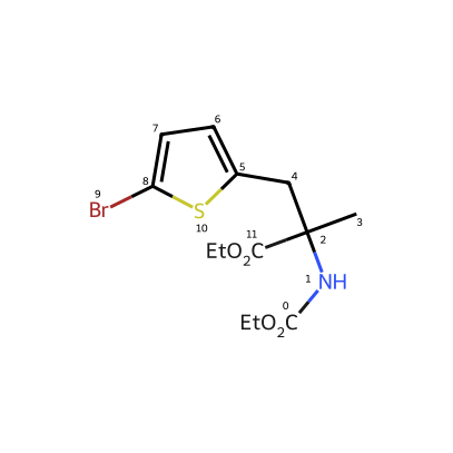 CCOC(=O)NC(C)(Cc1ccc(Br)s1)C(=O)OCC